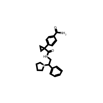 NC(=O)c1ccc(C2(C(=O)NCC(c3ccccc3)N3CCCC3)CC2)cc1